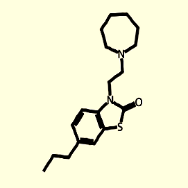 CCCc1ccc2c(c1)sc(=O)n2CCN1CCCCCC1